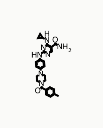 Cc1ccc(C(=O)N2CCN(c3ccc(Nc4ncc(C(N)=O)c(NC5CC5)n4)cc3)CC2)cc1